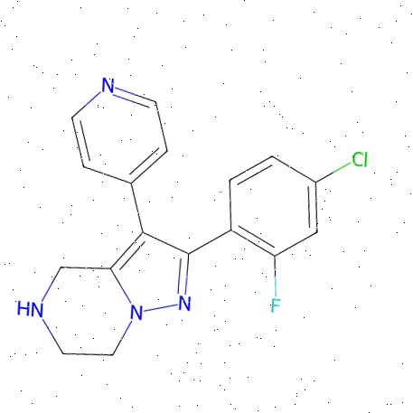 Fc1cc(Cl)ccc1-c1nn2c(c1-c1ccncc1)CNCC2